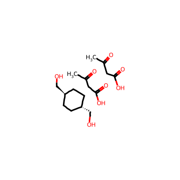 CC(=O)CC(=O)O.CC(=O)CC(=O)O.OC[C@H]1CC[C@H](CO)CC1